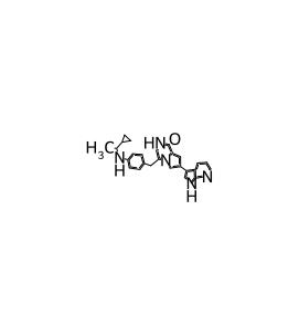 CC(Nc1ccc(Cc2c[nH]c(=O)c3cc(-c4c[nH]c5ncccc45)cn23)cc1)C1CC1